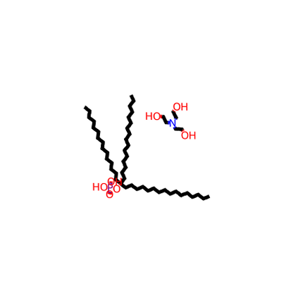 CCCCCCCCCCCCCCCCC(CCCCCCCCCCCCCCC)(CCCCCCCCCCCCCCCC)OP(=O)(O)O.OCCN(CCO)CCO